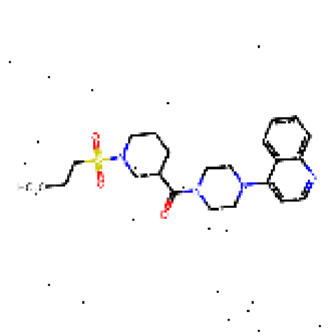 O=C(O)CCS(=O)(=O)N1CCCC(C(=O)N2CCN(c3ccnc4ccccc34)CC2)C1